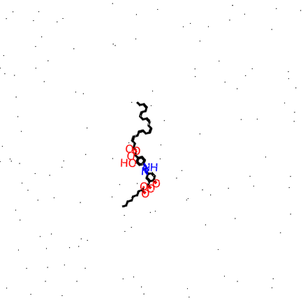 CC/C=C\C/C=C\C/C=C\C/C=C\C/C=C\C/C=C\CC(=O)OC(=O)c1ccc(N/N=C2\C=CC(=O)C(C(=O)OC(=O)CCCCCCC)=C2)cc1O